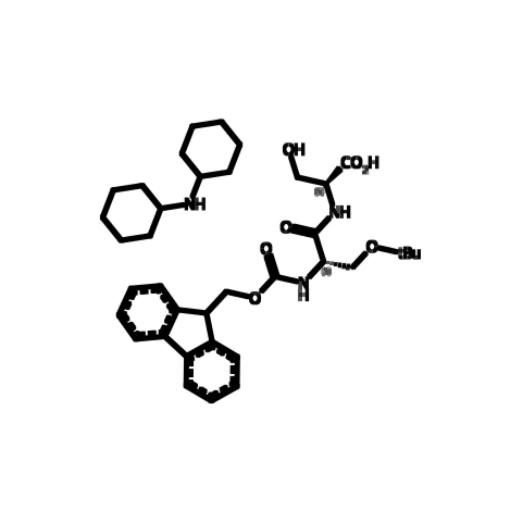 C1CCC(NC2CCCCC2)CC1.CC(C)(C)OC[C@H](NC(=O)OCC1c2ccccc2-c2ccccc21)C(=O)N[C@@H](CO)C(=O)O